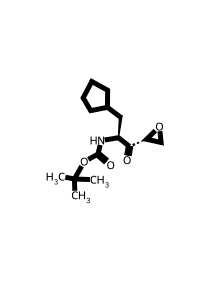 CC(C)(C)OC(=O)N[C@@H](CC1CCCC1)C(=O)[C@H]1CO1